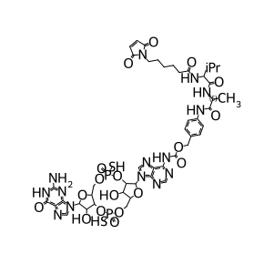 CC(C)C(NC(=O)CCCCCN1C(=O)C=CC1=O)C(=O)N[C@@H](C)C(=O)Nc1ccc(COC(=O)Nc2ncnc3c2ncn3C2OC3COP(=O)(S)OC4C(COP(=O)(S)OC2C3O)OC(n2cnc3c(=O)[nH]c(N)nc32)C4O)cc1